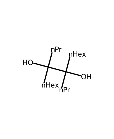 CCCCCCC(O)(CCC)C(O)(CCC)CCCCCC